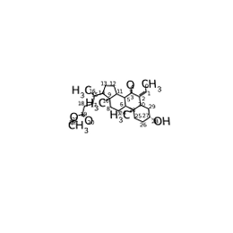 CC=C1C(=O)C2C(CC[C@@]3(C)C2CCC3[C@H](C)CCC(=O)OC)[C@@]2(C)CC[C@@H](O)CC12